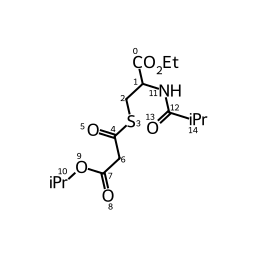 CCOC(=O)C(CSC(=O)CC(=O)OC(C)C)NC(=O)C(C)C